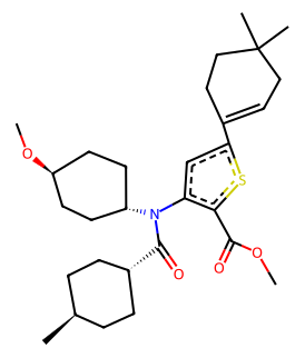 COC(=O)c1sc(C2=CCC(C)(C)CC2)cc1N(C(=O)[C@H]1CC[C@H](C)CC1)[C@H]1CC[C@H](OC)CC1